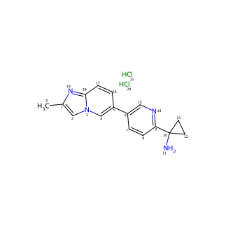 Cc1cn2cc(-c3ccc(C4(N)CC4)nc3)ccc2n1.Cl.Cl